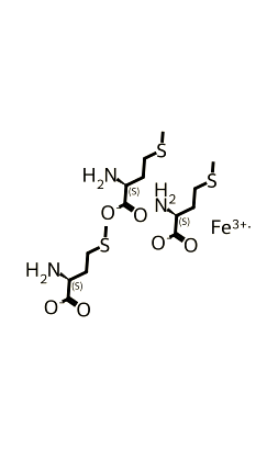 CSCC[C@H](N)C(=O)[O-].CSCC[C@H](N)C(=O)[O-].CSCC[C@H](N)C(=O)[O-].[Fe+3]